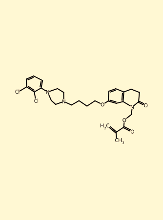 C=C(C)C(=O)OCN1C(=O)CCc2ccc(OCCCCN3CCN(c4cccc(Cl)c4Cl)CC3)cc21